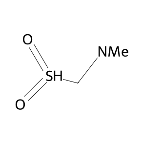 CNC[SH](=O)=O